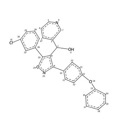 OC(c1cccnc1)c1c(-c2ccc(Oc3ccccc3)cc2)noc1-c1cccc(Cl)c1